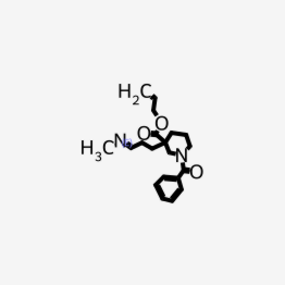 C=CCOC(=O)C1(CC/C=N/C)CCCN(C(=O)c2ccccc2)C1